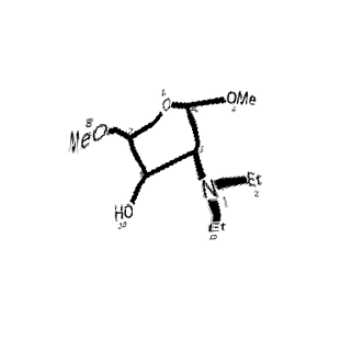 CCN(CC)C1C(OC)OC(OC)C1O